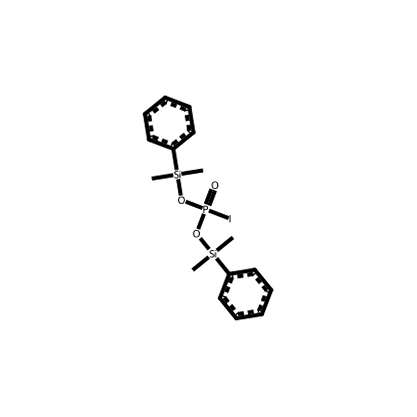 C[Si](C)(OP(=O)(I)O[Si](C)(C)c1ccccc1)c1ccccc1